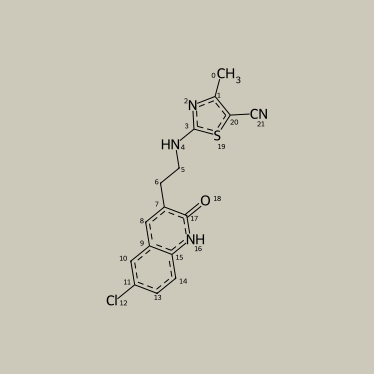 Cc1nc(NCCc2cc3cc(Cl)ccc3[nH]c2=O)sc1C#N